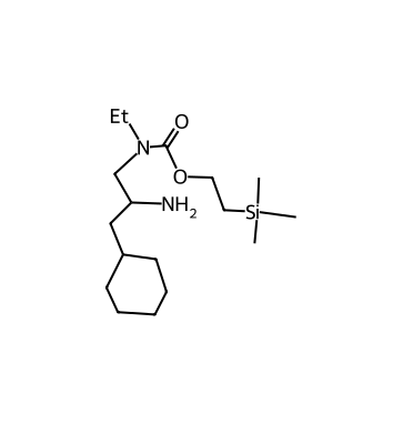 CCN(CC(N)CC1CCCCC1)C(=O)OCC[Si](C)(C)C